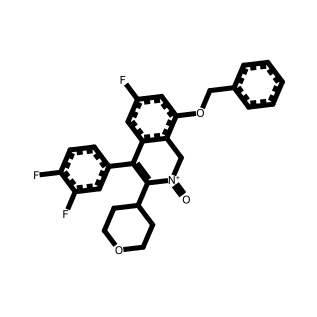 O=[N+]1Cc2c(OCc3ccccc3)cc(F)cc2C(c2ccc(F)c(F)c2)=C1C1CCOCC1